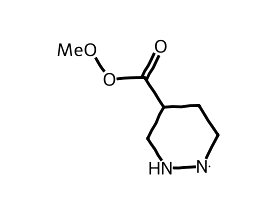 COOC(=O)C1CC[N]NC1